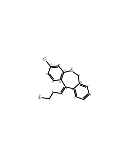 BrCCC=C1c2ccccc2COc2cc(Br)ccc21